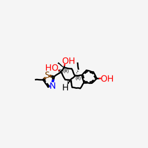 CC[C@@]12C[C@@](C)(O)[C@@](O)(c3ncc(C)s3)C[C@H]1CCc1cc(O)ccc12